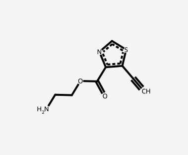 C#Cc1scnc1C(=O)OCCN